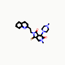 CN1CCN(c2c3c(cn(C)c2=O)C(=S)N(CCc2ccc4ccccc4n2)C3=O)CC1